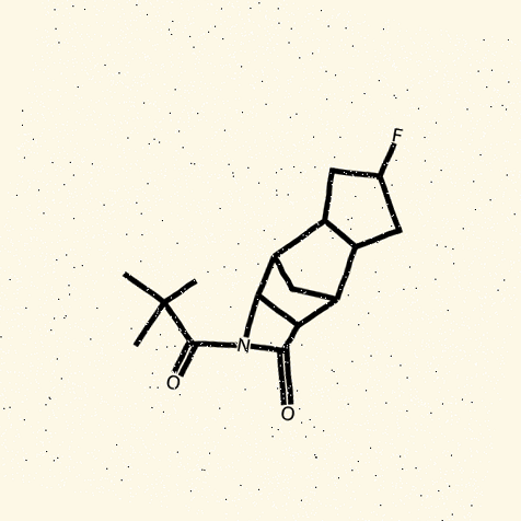 CC(C)(C)C(=O)N1C(=O)C2C3CC(C4CC(F)CC43)C21